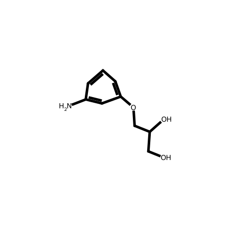 Nc1cccc(OCC(O)CO)c1